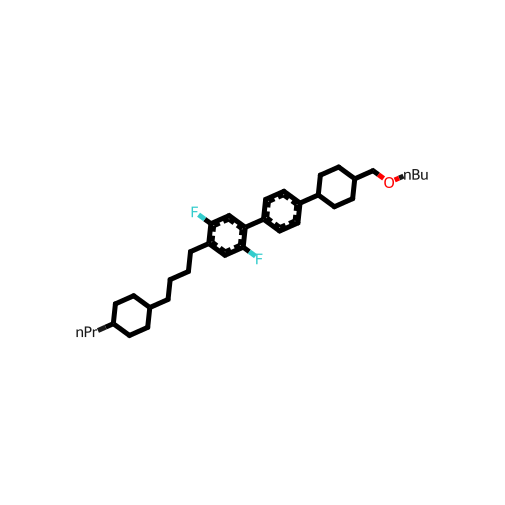 CCCCOCC1CCC(c2ccc(-c3cc(F)c(CCCCC4CCC(CCC)CC4)cc3F)cc2)CC1